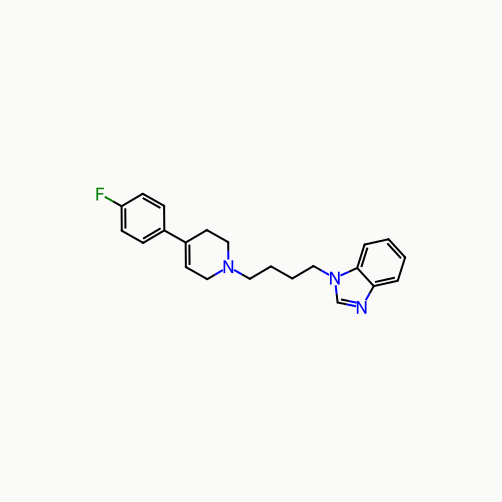 Fc1ccc(C2=CCN(CCCCn3cnc4ccccc43)CC2)cc1